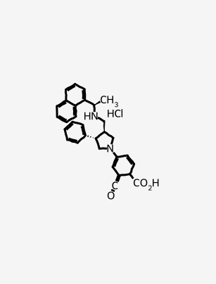 C[C@@H](NC[C@H]1CN(C2=CC(=C=O)C(C(=O)O)C=C2)C[C@@H]1c1ccccc1)c1cccc2ccccc12.Cl